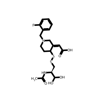 CC(=O)N[C@@H](CSSC1CCN(Cc2ccccc2F)C/C1=C/C(=O)O)C(O)O